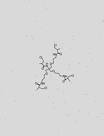 CC(CCl)C(=O)NCCCOCC(COCCCNC(=O)C(C)CCl)(COCCCNC(=O)C(C)CCl)NC(=O)C(C)CCl